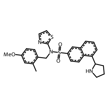 COc1ccc(CN(c2nccs2)S(=O)(=O)c2ccc3c(C4CCCN4)cccc3c2)c(C)c1